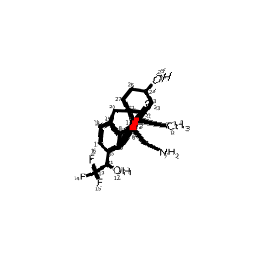 CN1C(=O)C2(N=C1N)c1cc(C(O)C(F)(F)F)ccc1CC21CCC(O)CC1